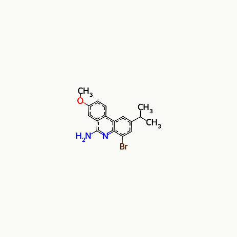 COc1ccc2c(c1)c(N)nc1c(Br)cc(C(C)C)cc12